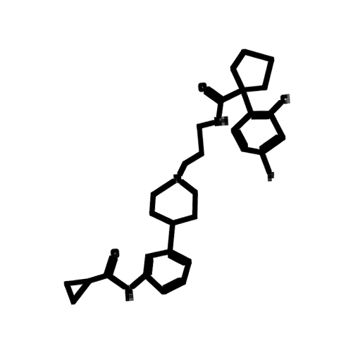 O=C(Nc1cccc(C2CCN(CCCNC(=O)C3(c4ccc(F)cc4Cl)CCCC3)CC2)c1)C1CC1